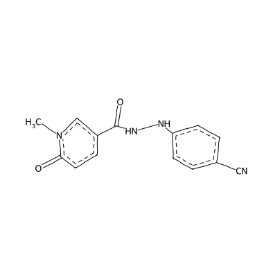 Cn1cc(C(=O)NNc2ccc(C#N)cc2)ccc1=O